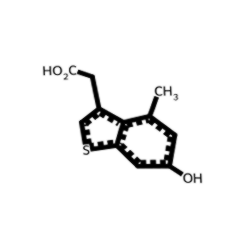 Cc1cc(O)cc2scc(CC(=O)O)c12